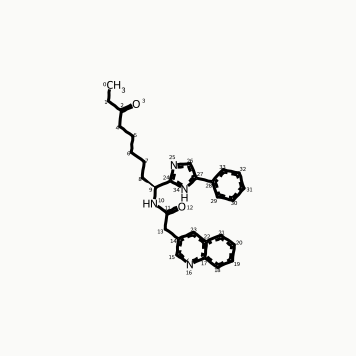 CCC(=O)CCCCC[C@H](NC(=O)Cc1cnc2ccccc2c1)c1ncc(-c2ccccc2)[nH]1